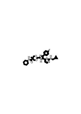 CC1(C(=O)NC2CCCCC2)COC(c2nc(-c3ccc(F)cc3)c(-c3ccnc(NCC4CC4)n3)[nH]2)OC1